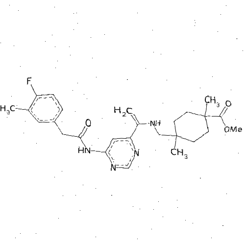 C=C(NCC1(C)CCC(C)(C(=O)OC)CC1)c1cc(NC(=O)Cc2ccc(F)c(C)c2)ncn1